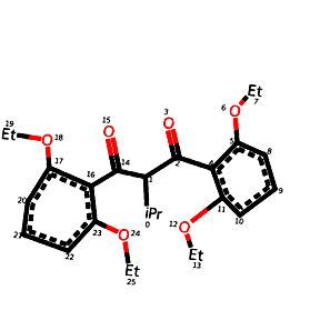 [CH2]C(C)C(C(=O)c1c(OCC)cccc1OCC)C(=O)c1c(OCC)cccc1OCC